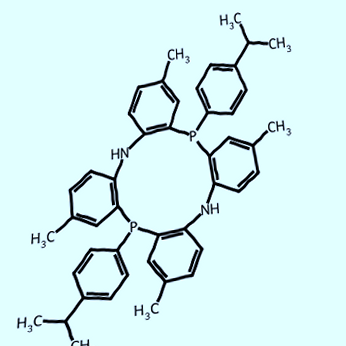 Cc1ccc2c(c1)P(c1ccc(C(C)C)cc1)c1cc(C)ccc1Nc1ccc(C)cc1P(c1ccc(C(C)C)cc1)c1cc(C)ccc1N2